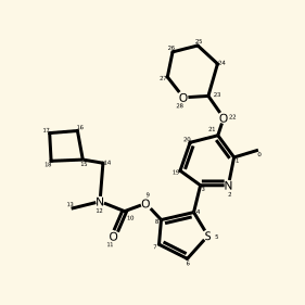 Cc1nc(-c2sccc2OC(=O)N(C)CC2CCC2)ccc1OC1CCCCO1